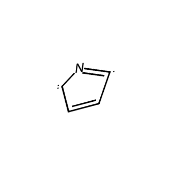 [C]1C=C[C]=N1